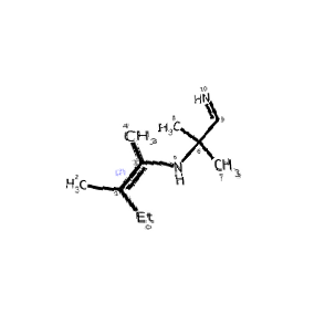 CC/C(C)=C(/C)NC(C)(C)C=N